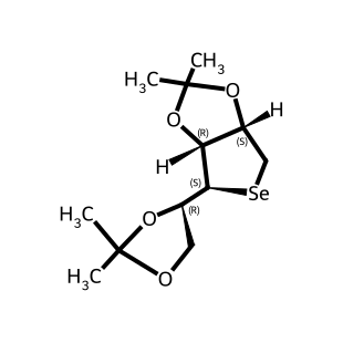 CC1(C)O[C@H]2[C@H]([C@H]3COC(C)(C)O3)[Se]C[C@H]2O1